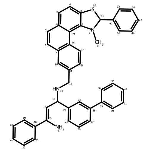 CN1c2c(ccc3ccc4cc(CNC(/C=C(\N)c5ccccc5)c5cccc(-c6ccccc6)c5)ccc4c23)SC1c1ccccc1